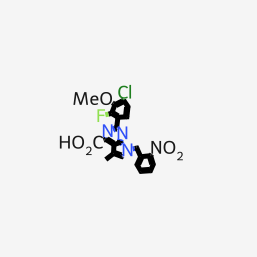 COc1c(Cl)ccc(-c2nc(C(=O)O)c3c(C)cn(Cc4ccccc4[N+](=O)[O-])c3n2)c1F